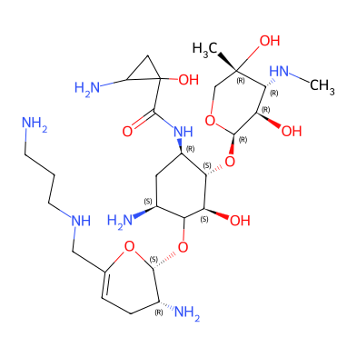 CN[C@@H]1[C@@H](O)[C@@H](O[C@H]2[C@H](NC(=O)C3(O)CC3N)C[C@H](N)C(O[C@H]3OC(CNCCCN)=CC[C@H]3N)[C@@H]2O)OC[C@]1(C)O